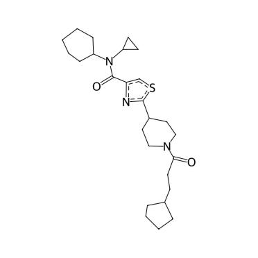 O=C(CCC1CCCC1)N1CCC(c2nc(C(=O)N(C3CCCCC3)C3CC3)cs2)CC1